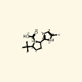 CC(C)(C)C1CCC(c2ncc(I)[nH]2)N1C(=O)O